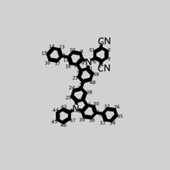 N#Cc1ccc(C#N)c(-n2c3ccc(-c4ccccc4)cc3c3cc(-c4ccc5c(c4)c4cc(-c6ccccc6)ccc4n5-c4ccccc4)ccc32)c1